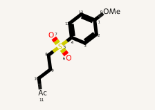 COc1ccc(S(=O)(=O)CCCC(C)=O)cc1